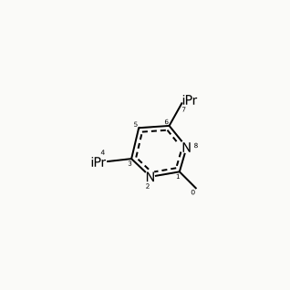 Cc1nc(C(C)C)cc(C(C)C)n1